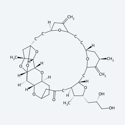 C=C1C[C@@H]2CC[C@@]34C[C@@]5(C)O[C@H]6[C@@H](O3)[C@H]3OC(CC[C@@H]3O[C@H]6[C@H]5O4)CC(=O)C[C@@H]3[C@@H](C)[C@@H](C[C@H](O)CO)O[C@H]3CC3O[C@H](CCC1O2)C[C@@H](C)C3=C